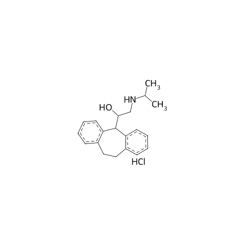 CC(C)NCC(O)C1c2ccccc2CCc2ccccc21.Cl